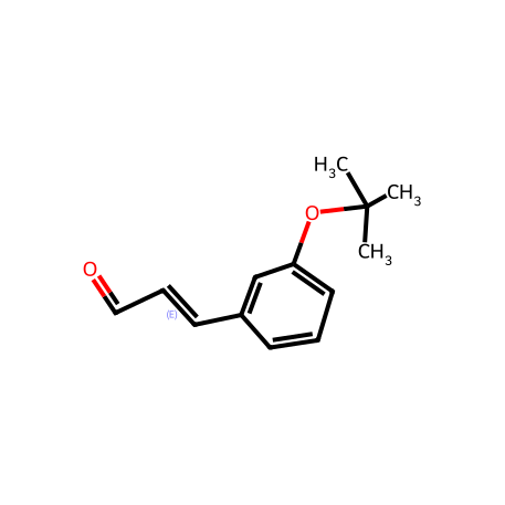 CC(C)(C)Oc1cccc(/C=C/C=O)c1